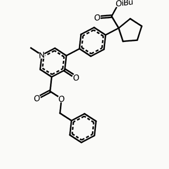 CC(C)COC(=O)C1(c2ccc(-c3cn(C)cc(C(=O)OCc4ccccc4)c3=O)cc2)CCCC1